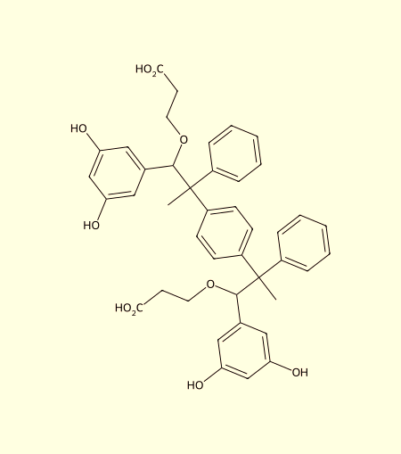 CC(c1ccccc1)(c1ccc(C(C)(c2ccccc2)C(OCCC(=O)O)c2cc(O)cc(O)c2)cc1)C(OCCC(=O)O)c1cc(O)cc(O)c1